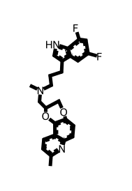 Cc1ccc2c3c(ccc2n1)OCC(CN(C)CCCc1c[nH]c2c(F)cc(F)cc12)O3